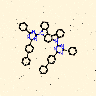 c1ccc(-c2ccc(-c3nc(-c4ccccc4)nc(-n4c5ccccc5c5c6c7ccccc7n(-c7nc(-c8ccccc8)nc(-c8ccc(-c9ccccc9)cc8)n7)c6ccc54)n3)cc2)cc1